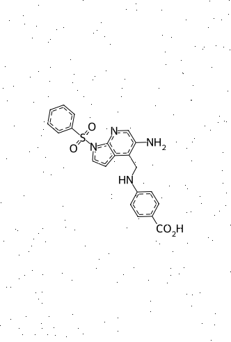 Nc1cnc2c(ccn2S(=O)(=O)c2ccccc2)c1CNc1ccc(C(=O)O)cc1